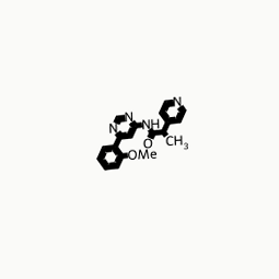 COc1ccccc1-c1cc(NC(=O)C(C)c2ccncc2)ncn1